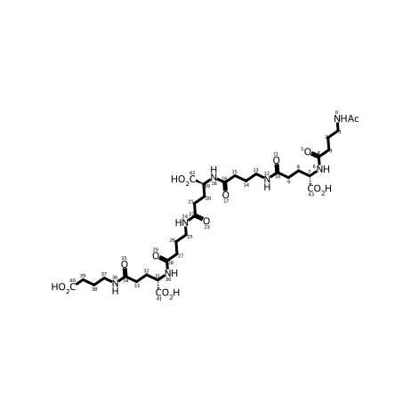 CC(=O)NCCCC(=O)N[C@@H](CCC(=O)NCCCC(=O)N[C@@H](CCC(=O)NCCCC(=O)N[C@@H](CCC(=O)NCCCC(=O)O)C(=O)O)C(=O)O)C(=O)O